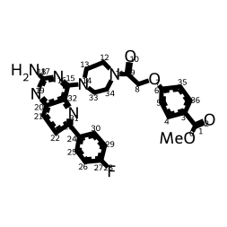 COC(=O)c1ccc(OCC(=O)N2CCN(c3nc(N)nc4ccc(-c5ccc(F)cc5)nc34)CC2)cc1